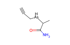 C#CC[AsH]C(C)C(N)=O